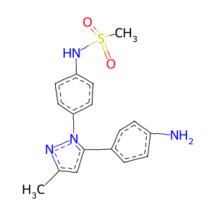 Cc1cc(-c2ccc(N)cc2)n(-c2ccc(NS(C)(=O)=O)cc2)n1